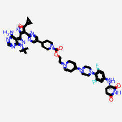 CC(C)(C)n1nc(-c2noc(C3CC3)c2-c2ncc(C3CCN(C(=O)OCCN4CCC(N5CCN(c6c(F)cc(N[C@@H]7CCC(=O)NC7=O)cc6F)CC5)CC4)CC3)cn2)c2c(N)ncnc21